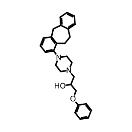 OC(COc1ccccc1)CN1CCN(c2cccc3c2CCc2ccccc2C3)CC1